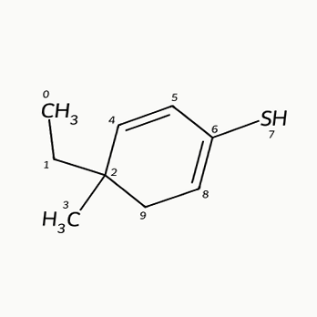 CCC1(C)C=CC(S)=CC1